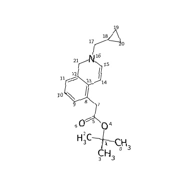 CC(C)(C)OC(=O)Cc1cccc2c1C=CN(CC1CC1)C2